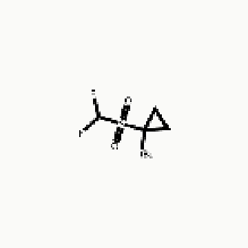 CC(C)(C)C1(S(=O)(=O)C(F)F)CC1